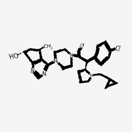 C[C@@H]1C[C@@H](O)c2ncnc(N3CCN(C(=O)C(c4ccc(Cl)cc4)[C@@H]4CCCN4CC4CC4)CC3)c21